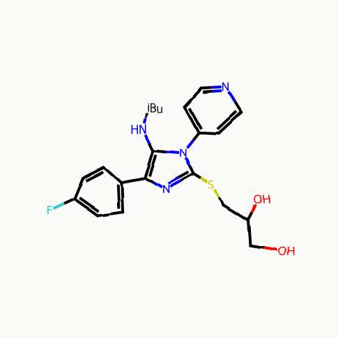 CCC(C)Nc1c(-c2ccc(F)cc2)nc(SCC(O)CO)n1-c1ccncc1